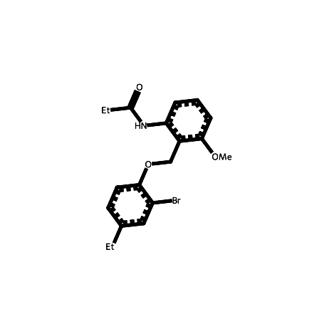 CCC(=O)Nc1cccc(OC)c1COc1ccc(CC)cc1Br